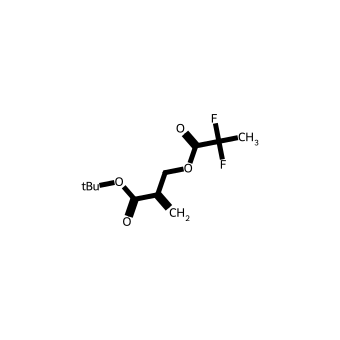 C=C(COC(=O)C(C)(F)F)C(=O)OC(C)(C)C